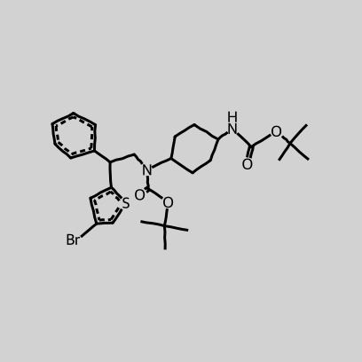 CC(C)(C)OC(=O)NC1CCC(N(CC(c2ccccc2)c2cc(Br)cs2)C(=O)OC(C)(C)C)CC1